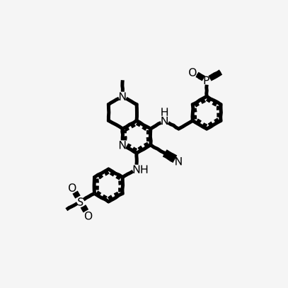 C=P(=O)c1cccc(CNc2c(C#N)c(Nc3ccc(S(C)(=O)=O)cc3)nc3c2CN(C)CC3)c1